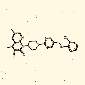 Cn1c(=O)c(=O)n(C2CCN(c3ncc(CNc4ccccc4Cl)cn3)CC2)c2ncc(Cl)cc21